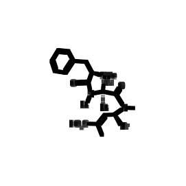 CCN(C(=O)[C@@H](Cc1ccccc1)NC)[C@](CC)(C(=O)N(C)[C@H](/C=C(\C)C(=O)O)C(C)C)C(C)(C)C